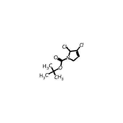 CC(C)(C)OC(=O)N1CC=C(Cl)C1Cl